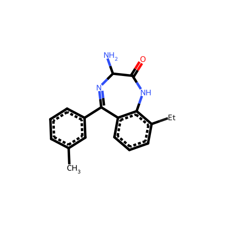 CCc1cccc2c1NC(=O)C(N)N=C2c1cccc(C)c1